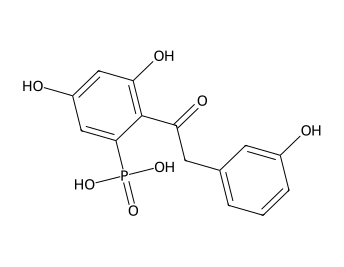 O=C(Cc1cccc(O)c1)c1c(O)cc(O)cc1P(=O)(O)O